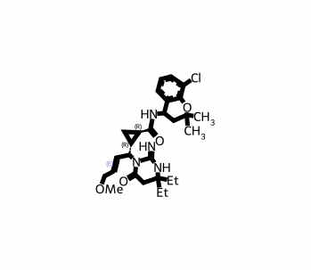 CCC1(CC)CC(=O)N(C(/C=C/COC)[C@@H]2C[C@H]2C(=O)NC2CC(C)(C)Oc3c(Cl)cccc32)C(=N)N1